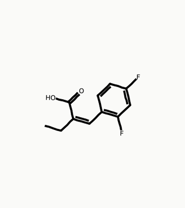 CCC(=Cc1ccc(F)cc1F)C(=O)O